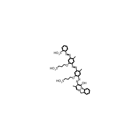 CC1=CN2Cc3ccccc3N2C(O)=C1N=Nc1cc(C)c(N=Nc2cc(C)c(N=Nc3ccccc3S(=O)(=O)O)cc2OCCCS(=O)(=O)O)cc1OCCCS(=O)(=O)O